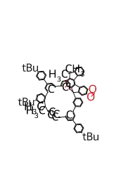 CC(C)(C)c1ccc(-c2cc3cc(c2)-c2cccc(c2)C2(c4cccc(c4)-c4cc(-c5ccc(C(C)(C)C)cc5)cc(c4)-c4ccc(C(C)(C)C)cc4C(C)(C)c4ccc-3cc4)c3cc4c(cc3-c3c2ccc2c3-c3ccccc3C2(C)C)OCO4)cc1